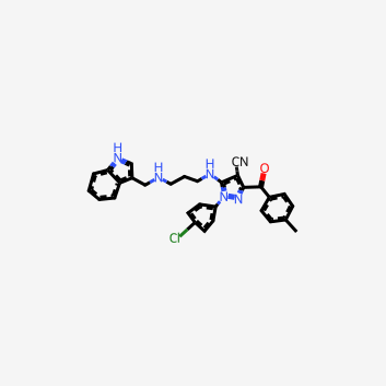 Cc1ccc(C(=O)c2nn(-c3ccc(Cl)cc3)c(NCCCNCc3c[nH]c4ccccc34)c2C#N)cc1